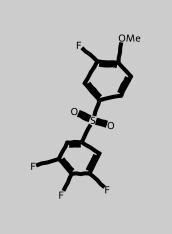 COc1ccc(S(=O)(=O)c2cc(F)c(F)c(F)c2)cc1F